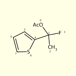 CC(=O)OC(C)(F)c1cccs1